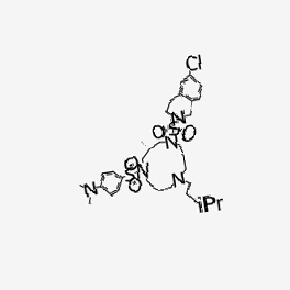 CC(C)CCN1CCCN(S(=O)(=O)c2ccc(N(C)C)cc2)C[C@H](C)CN(S(=O)(=O)N2CCc3cc(Cl)ccc3C2)CCC1